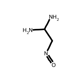 NC(N)CN=O